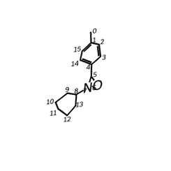 Cc1ccc(C2ON2C2CCCCC2)cc1